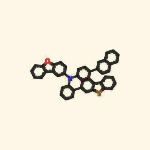 c1ccc(N(c2ccc(-c3ccc4ccccc4c3)cc2)c2ccc3oc4ccccc4c3c2)c(-c2ccc3c(c2)sc2ccccc23)c1